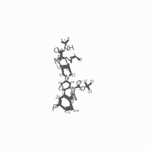 CCn1c(C(=O)NC(C)C)nc2c1CN([C@H]1CO[C@H](c3cc(F)ccc3F)[C@@H](NC(=O)OC(C)(C)C)C1)C2